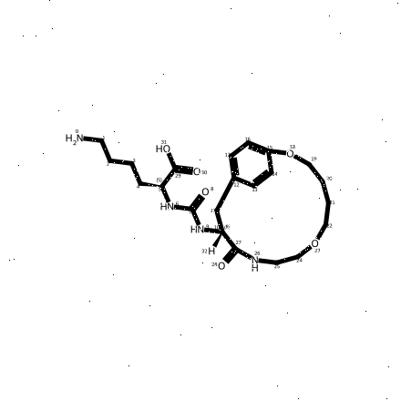 NCCCC[C@H](NC(=O)N[C@@H]1Cc2ccc(cc2)OCCCCOCCNC1=O)C(=O)O